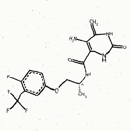 C=C1NC(=O)NC(C(=O)N[C@H](C)COc2ccc(F)c(C(F)(F)F)c2)=C1N